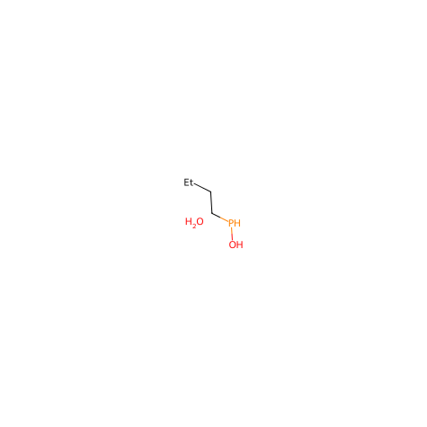 CCCCPO.O